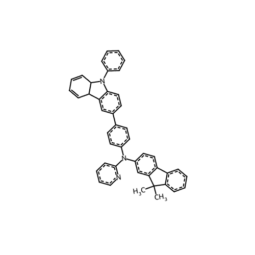 CC1(C)c2ccccc2-c2ccc(N(c3ccc(-c4ccc5c(c4)C4C=CC=CC4N5c4ccccc4)cc3)c3ccccn3)cc21